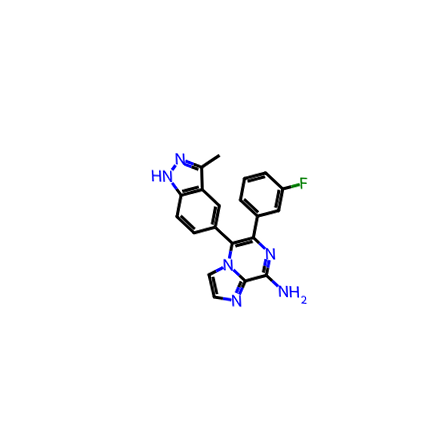 Cc1n[nH]c2ccc(-c3c(-c4cccc(F)c4)nc(N)c4nccn34)cc12